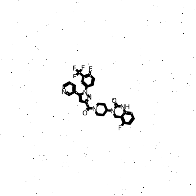 O=C(c1cc(-c2cccnc2)n(-c2ccc(F)c(C(F)(F)F)c2)n1)N1CCC(N2Cc3c(F)cccc3NC2=O)CC1